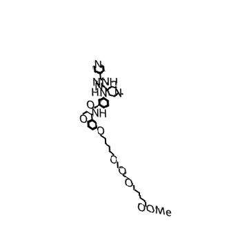 COC(=O)CCCCCOCCOCCOCCCCCCOc1ccc2c(c1)C(NC(=O)c1cccc(NC3(c4nnc(-c5ccncc5)[nH]4)CCN(C)CC3)c1)CCO2